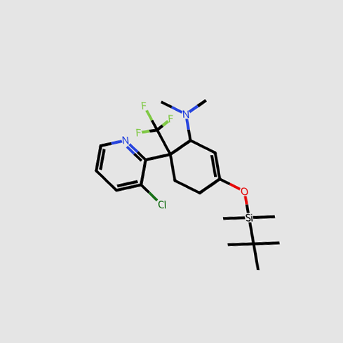 CN(C)C1C=C(O[Si](C)(C)C(C)(C)C)CCC1(c1ncccc1Cl)C(F)(F)F